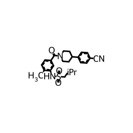 Cc1ccc(C(=O)N2CCC(c3ccc(C#N)cc3)CC2)cc1NS(=O)(=O)CC(C)C